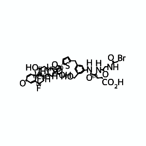 C[C@]12C=CC(=O)C=C1[C@@H](F)C[C@H]1[C@@H]3C[C@H]4O[C@@H](c5ccc(Cc6cc(CO)cc(NC(=O)[C@H](CCC(=O)O)NC(=O)CNC(=O)CBr)c6)s5)O[C@@]4(C(=O)CO)[C@@]3(C)C[C@H](O)[C@@]12F